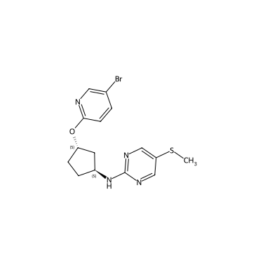 CSc1cnc(N[C@H]2CC[C@H](Oc3ccc(Br)cn3)C2)nc1